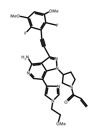 C=CC(=O)N1CCC(n2nc(C#Cc3c(F)c(OC)cc(OC)c3F)c3c(N)ncc(-c4cn(CCOC)cn4)c32)C1